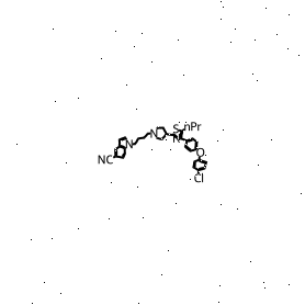 CCCc1sc(C2CCN(CCCCn3ccc4cc(C#N)ccc43)CC2)nc1-c1ccc(Oc2ccc(Cl)cc2)cc1